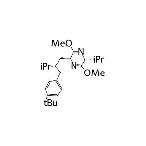 COC1=N[C@H](C(C)C)C(OC)=N[C@H]1C[C@H](Cc1ccc(C(C)(C)C)cc1)C(C)C